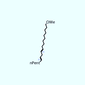 [CH2]OCCCCCCCCC/C=C/C/C=C/CCCCC